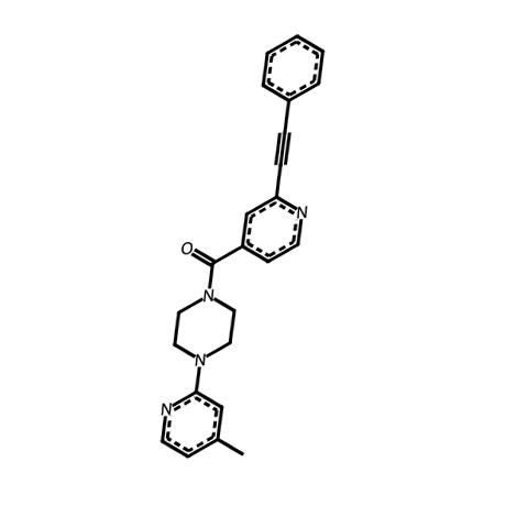 Cc1ccnc(N2CCN(C(=O)c3ccnc(C#Cc4ccccc4)c3)CC2)c1